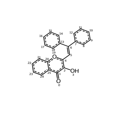 O=c1c(O)c(C=C(c2ccccc2)c2ccccc2)oc2ccccc12